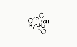 CC(Cc1ccccc1Cl)NC[C@H](O)c1ccccc1OCc1ccccc1